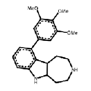 COc1cc(-c2cccc3c2C2CCNCCC2N3)cc(OC)c1OC